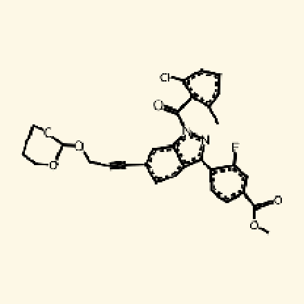 COC(=O)c1ccc(-c2nn(C(=O)c3c(C)cccc3Cl)c3cc(C#CCOC4CCCCO4)ccc23)c(F)c1